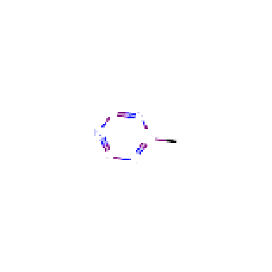 C[PH]1=NP=NP=N1